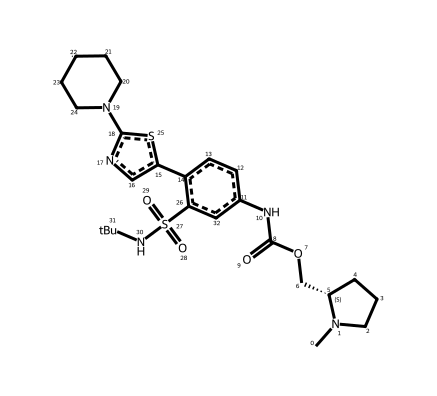 CN1CCC[C@H]1COC(=O)Nc1ccc(-c2cnc(N3CC[CH]CC3)s2)c(S(=O)(=O)NC(C)(C)C)c1